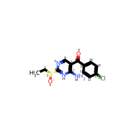 CC[S+]([O-])c1ncc(C(=O)c2ccc(Cl)cc2)c(N)n1